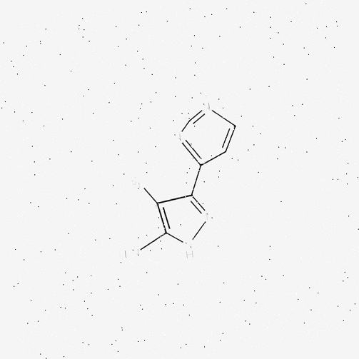 Nc1[nH]nc(-c2ccncn2)c1Br